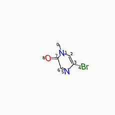 Cn1cc(Br)ncc1=O